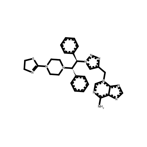 Nc1ncn(Cc2cn([C@H](c3ccccc3)[C@H](c3ccccc3)N3CCN(C4=NCCS4)CC3)nn2)c2ncnc1-2